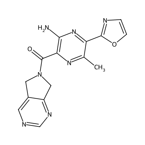 Cc1nc(C(=O)N2Cc3cncnc3C2)c(N)nc1-c1ncco1